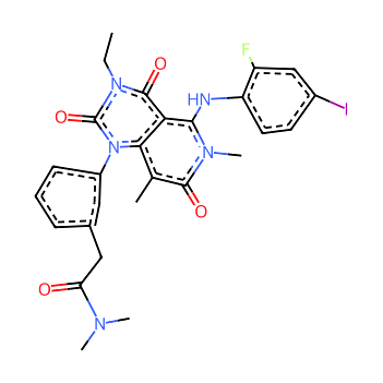 CCn1c(=O)c2c(Nc3ccc(I)cc3F)n(C)c(=O)c(C)c2n(-c2cccc(CC(=O)N(C)C)c2)c1=O